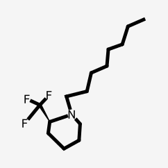 CCCCCCCCN1CCCC[C@H]1C(F)(F)F